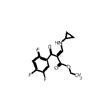 CCOC(=O)/C(=C/NC1CC1)C(=O)c1cc(F)c(F)cc1F